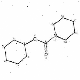 O=C(OC1CCCCC1)N1CCCCC1